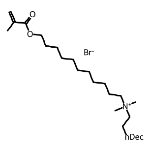 C=C(C)C(=O)OCCCCCCCCCCC[N+](C)(C)CCCCCCCCCCCC.[Br-]